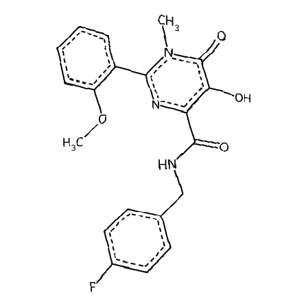 COc1ccccc1-c1nc(C(=O)NCc2ccc(F)cc2)c(O)c(=O)n1C